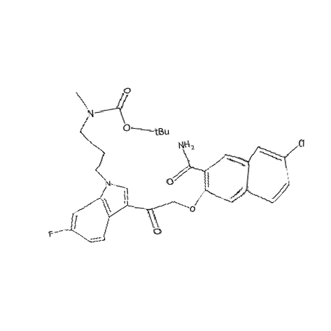 CN(CCCn1cc(C(=O)COc2cc3ccc(Cl)cc3cc2C(N)=O)c2ccc(F)cc21)C(=O)OC(C)(C)C